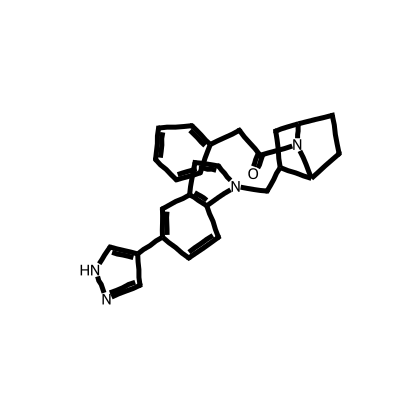 O=C(Cc1ccccc1)N1C2CCC1C(Cn1ccc3cc(-c4cn[nH]c4)ccc31)C2